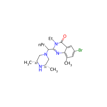 CCCC(c1nc2c(C)cc(Br)cc2c(=O)n1CC)N1C[C@@H](C)N[C@@H](C)C1